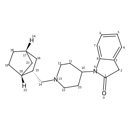 O=C1Cc2ccccc2N1C1CCN(C[C@H]2C[C@H]3CC[C@@H]2C3)CC1